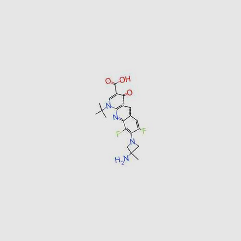 CC1(N)CN(c2c(F)cc3cc4c(=O)c(C(=O)O)cn(C(C)(C)C)c4nc3c2F)C1